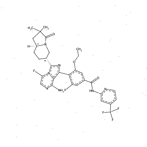 CCOc1cc(C(=O)Nc2cc(C(F)(F)F)ccn2)cc(F)c1-c1nc([C@@H]2CC[C@H]3CC(C)(C)C(=O)N3C2)n2c(F)cnc(N)c12